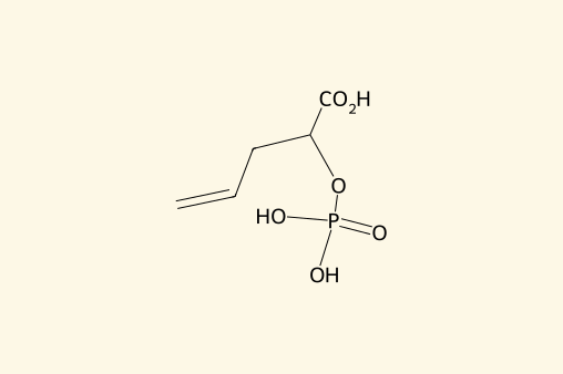 C=CCC(OP(=O)(O)O)C(=O)O